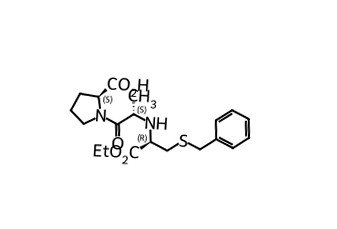 CCOC(=O)[C@H](CSCc1ccccc1)N[C@@H](C)C(=O)N1CCC[C@H]1C(=O)O